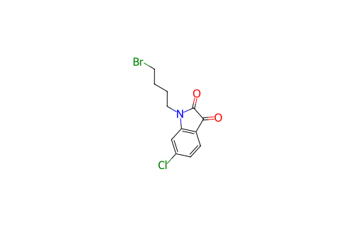 O=C1C(=O)N(CCCCBr)c2cc(Cl)ccc21